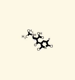 CC(C)N/C=C(\C(=O)O)C(=O)c1cc(F)c(Cl)nc1Cl